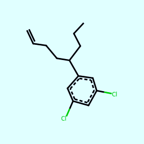 C=CCCC(CCC)c1cc(Cl)cc(Cl)c1